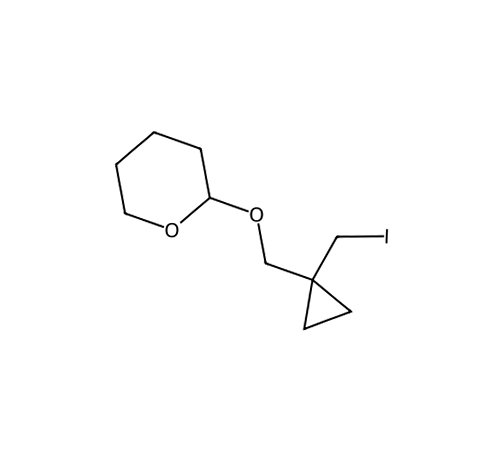 ICC1(COC2CCCCO2)CC1